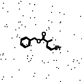 CC(C)/C=C\C(C)C(=O)OCc1ccccc1